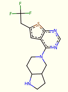 FC(F)(F)Cc1cc2c(N3CCC4NCCC4C3)ncnc2s1